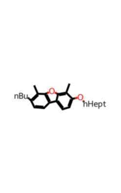 CCCCCCCOc1ccc2c(oc3c(C)c(CCCC)ccc32)c1C